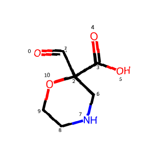 O=[C]C1(C(=O)O)CNCCO1